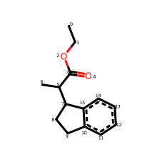 CCOC(=O)C(C)[C]1CCc2ccccc21